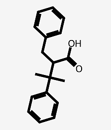 CC(C)(c1ccccc1)C(Cc1ccccc1)C(=O)O